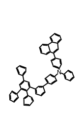 c1ccc(-c2cc(-c3ccccc3)c(-c3ccccc3)c(-c3cccc(-c4ccc(N(c5ccccc5)c5ccc(-c6cc7ccccc7c7ccccc67)cc5)cc4)c3)c2)cc1